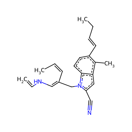 C=CN/C=C(\C=C/C)Cn1c(C#N)cc2c(C)c(/C=C/CC)ccc21